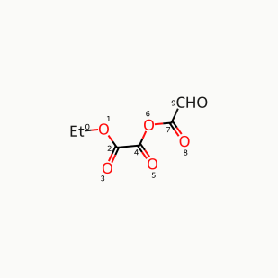 CCOC(=O)C(=O)OC(=O)C=O